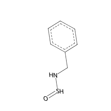 O=[SH]NCc1ccccc1